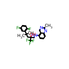 Cc1ncc2c(NCC(O)(CC(C)(C)c3cc(F)ccc3F)C(F)(F)F)cccc2n1